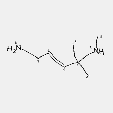 CNC(C)(C)/C=C/CN